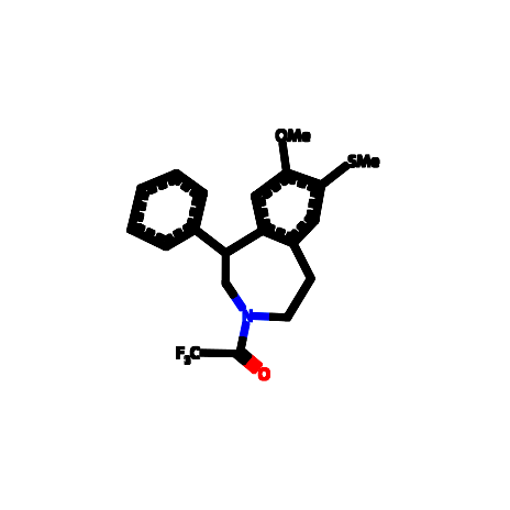 COc1cc2c(cc1SC)CCN(C(=O)C(F)(F)F)CC2c1ccccc1